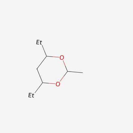 CCC1CC(CC)OC(C)O1